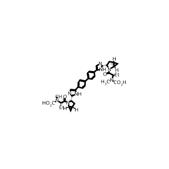 CC[C@@H](C(=O)N1[C@H](c2ncc(-c3ccc(-c4ccc(-c5cnc([C@@H]6C[C@@H]7C[C@@H]7N6C(=O)[C@H](CC)N(C)C(=O)O)[nH]5)cc4)cc3)[nH]2)C[C@@H]2C[C@@H]21)N(C)C(=O)O